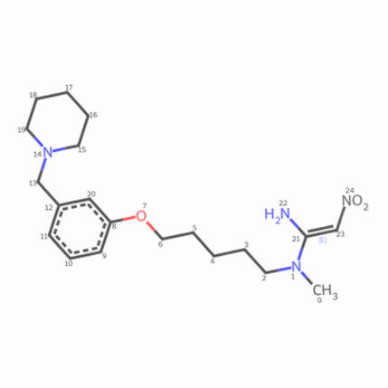 CN(CCCCCOc1cccc(CN2CCCCC2)c1)/C(N)=C/[N+](=O)[O-]